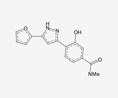 CNC(=O)c1ccc(-c2cc(-c3ccco3)[nH]n2)c(O)c1